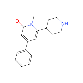 Cn1c(C2CCNCC2)cc(-c2ccccc2)cc1=O